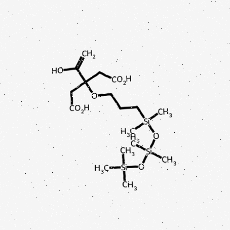 C=C(O)C(CC(=O)O)(CC(=O)O)OCCC[Si](C)(C)O[Si](C)(C)O[Si](C)(C)C